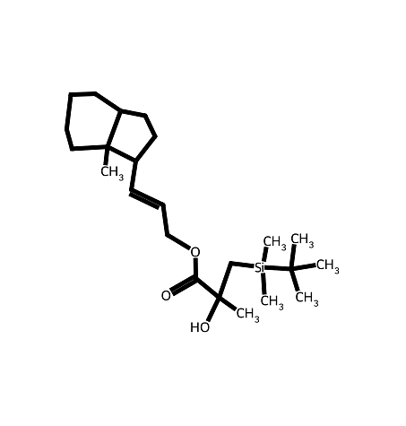 CC(O)(C[Si](C)(C)C(C)(C)C)C(=O)OCC=CC1CCC2CCCCC12C